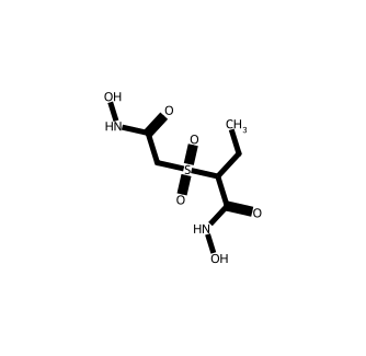 CCC(C(=O)NO)S(=O)(=O)CC(=O)NO